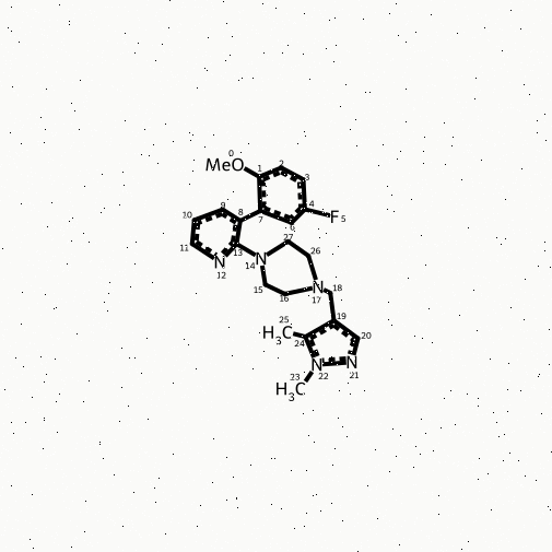 COc1ccc(F)cc1-c1cccnc1N1CCN(Cc2cnn(C)c2C)CC1